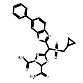 NC(=O)C1OC(C(c2nc3ccc(-c4ccccc4)cc3s2)S(=O)(=O)CC2CC2)=NN1C(N)=O